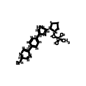 CS(=O)(=O)ON1CCC[C@H]1c1nc(-c2ccc(-c3cnc(Br)cn3)cc2)c[nH]1